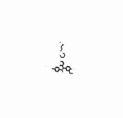 CC/C=C(\F)c1cc(/C(=C(\CC(F)(F)F)c2ccc(C(=O)NC)cc2)c2ccc(OC3CCCN(C/C=C/C(=O)N(C)C)C3)nc2)ccc1N